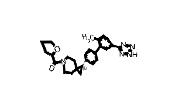 Cc1ccc(-c2nn[nH]n2)cc1-c1ccc([C@@H]2CC23CCN(C(=O)C2CCCO2)CC3)cc1